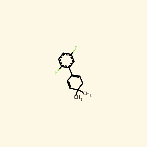 CC1(C)C=CC(c2cc(F)ccc2F)=CC1